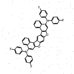 Fc1ccc(N(c2ccc(F)cc2)c2cc3oc4cc5oc6cc(N(c7ccc(F)cc7)c7ccc(F)cc7)c7ccccc7c6c5cc4c3c3ccccc23)cc1